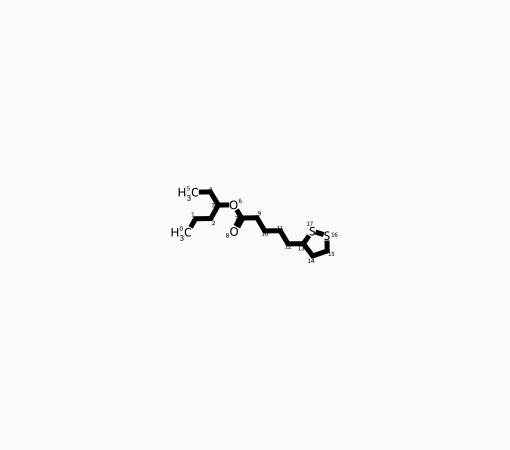 CCCC(CC)OC(=O)CCCCC1CCSS1